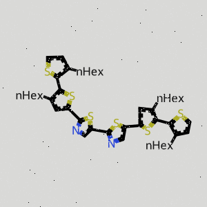 CCCCCCc1ccsc1-c1sc(-c2cnc(-c3cnc(-c4cc(CCCCCC)c(-c5sccc5CCCCCC)s4)s3)s2)cc1CCCCCC